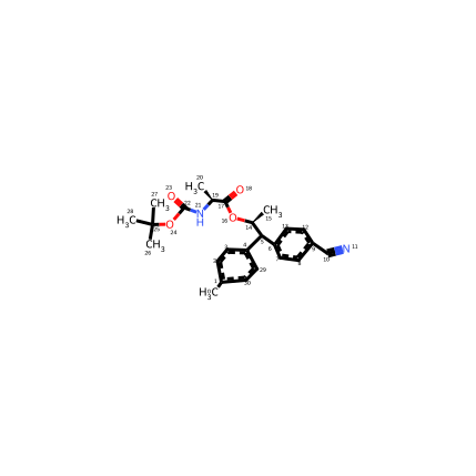 Cc1ccc(C(c2ccc(C#N)cc2)[C@H](C)OC(=O)[C@H](C)NC(=O)OC(C)(C)C)cc1